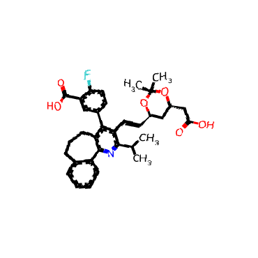 CC(C)c1nc2c(c(-c3ccc(F)c(C(=O)O)c3)c1/C=C/[C@@H]1C[C@H](CC(=O)O)OC(C)(C)O1)CCCc1ccccc1-2